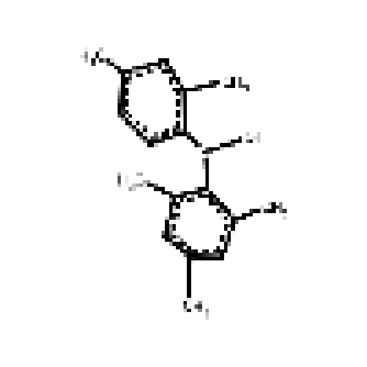 Cc1ccc(B(O)c2c(C)cc(C)cc2C)c(C)c1